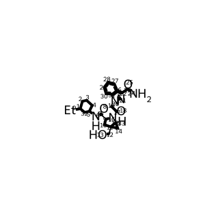 CCC1CCCC(NC(=O)[C@@H]2C[C@@]3(CO)C[C@H]3N2C(=O)Cn2nc(C(N)=O)c3ccccc32)C1